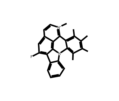 Cc1c(C)c(C)c2c(c1C)c1c3c(cc[n+]1C)cc(F)c1c4ccccc4n2c13